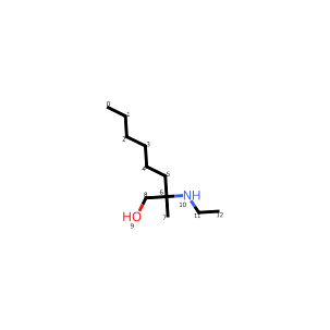 CCCCCCC(C)(CO)NCC